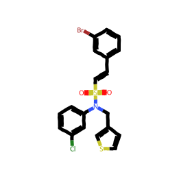 O=S(=O)(/C=C/c1cccc(Br)c1)N(Cc1ccsc1)c1cccc(Cl)c1